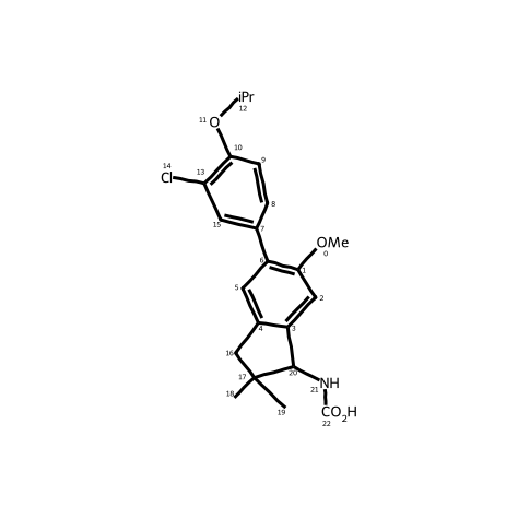 COc1cc2c(cc1-c1ccc(OC(C)C)c(Cl)c1)CC(C)(C)C2NC(=O)O